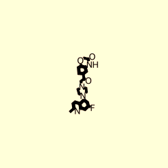 Cc1ccc2c(N3CCN(CC(=O)c4ccc5c(c4)NC(=O)CO5)CC3)cc(F)cc2n1